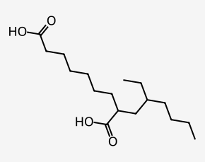 CCCCC(CC)CC(CCCCCCC(=O)O)C(=O)O